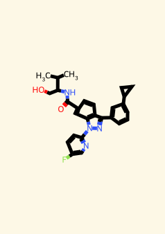 CC(C)C(CO)NC(=O)c1ccc2c(-c3cccc(C4CC4)c3)nn(-c3ccc(F)cn3)c2c1